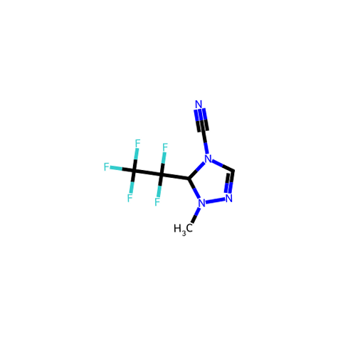 CN1N=CN(C#N)C1C(F)(F)C(F)(F)F